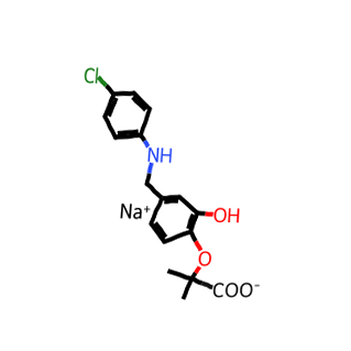 CC(C)(Oc1ccc(CNc2ccc(Cl)cc2)cc1O)C(=O)[O-].[Na+]